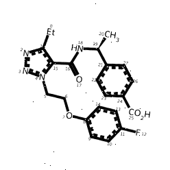 CCc1nnn(CCOc2ccc(F)cc2)c1C(=O)N[C@@H](C)c1ccc(C(=O)O)cc1